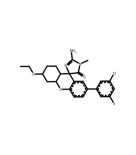 CCOC1CCC2C(C1)Oc1ccc(-c3cc(F)cc(Cl)c3)cc1C21N=C(N)N(C)C1=O